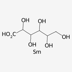 O=C(O)C(O)C(O)C(O)C(O)CO.[Sm]